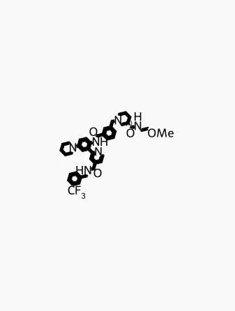 COCCNC(=O)[C@H]1CCCN(Cc2cccc(C(=O)Nc3ccc(N4CCCCC4)cc3-c3cc(C(=O)NCc4cccc(C(F)(F)F)c4)ccn3)c2)C1